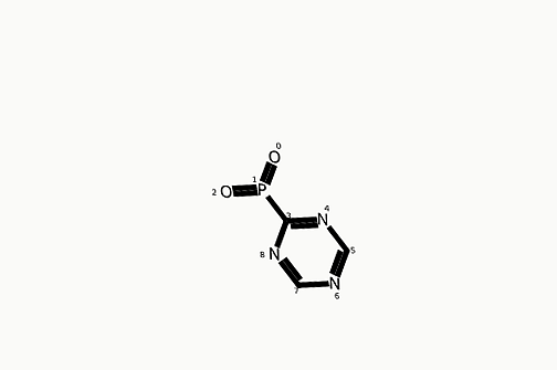 O=P(=O)c1ncncn1